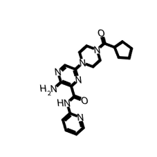 Nc1ncc(N2CCN(C(=O)C3CCCC3)CC2)nc1C(=O)Nc1ccccn1